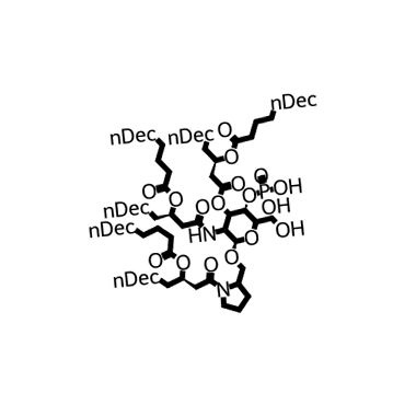 CCCCCCCCCCCCCC(=O)O[C@H](CCCCCCCCCCC)CC(=O)NC1C(OC(=O)C[C@@H](CCCCCCCCCCC)OC(=O)CCCCCCCCCCCCC)[C@H](OP(=O)(O)O)C(CO)O[C@H]1OCC1CCCN1C(=O)C[C@@H](CCCCCCCCCCC)OC(=O)CCCCCCCCCCCCC